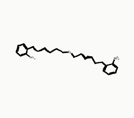 O=[N+]([O-])c1ccccc1CCCCCCOCCCCCCc1ccccc1[N+](=O)[O-]